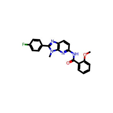 COc1ccccc1C(=O)Nc1ccc2nc(-c3ccc(F)cc3)n(C)c2n1